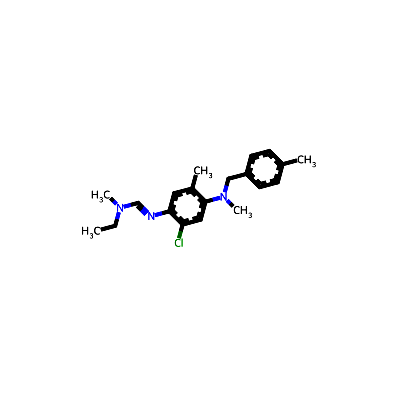 CCN(C)C=Nc1cc(C)c(N(C)Cc2ccc(C)cc2)cc1Cl